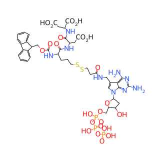 Nc1nc(N)c2c(CNC(=O)CCSSCCCC(NC(=O)OCC3c4ccccc4-c4ccccc43)C(=O)NC(CC(=O)O)C(=O)NC(CC(=O)O)C(=O)O)cn(C3CC(O)C(COP(=O)(O)OP(=O)(O)OP(=O)(O)O)O3)c2n1